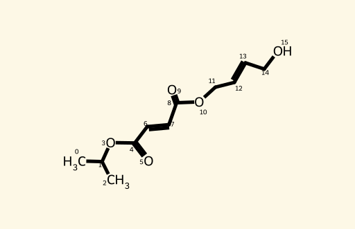 CC(C)OC(=O)C=CC(=O)OCC=CCO